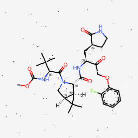 COC(=O)N[C@H](C(=O)N1C[C@H]2[C@@H]([C@H]1C(=O)N[C@@H](C[C@@H]1CCNC1=O)C(=O)COc1ccccc1F)C2(C)C)C(C)(C)C